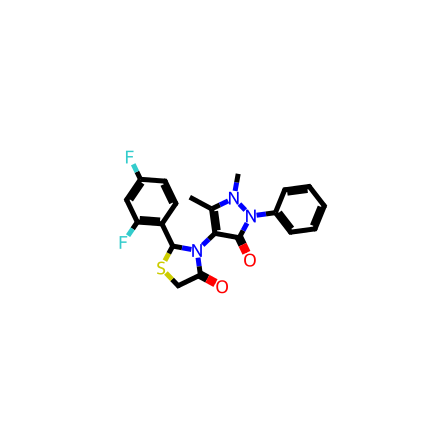 Cc1c(N2C(=O)CSC2c2ccc(F)cc2F)c(=O)n(-c2ccccc2)n1C